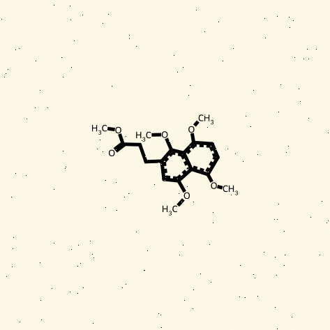 COC(=O)CCc1cc(OC)c2c(OC)ccc(OC)c2c1OC